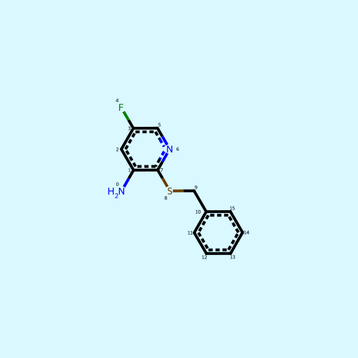 Nc1cc(F)cnc1SCc1ccccc1